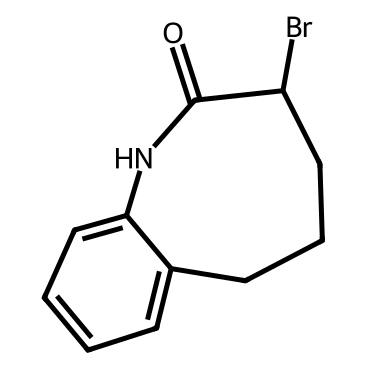 O=C1Nc2ccccc2CCCC1Br